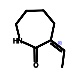 C/C=C1/CCCCNC1=O